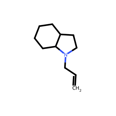 C=CCN1CCC2CCCCC21